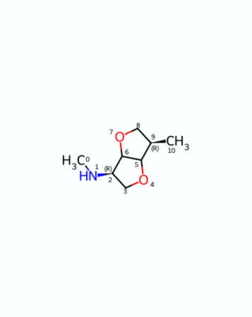 CN[C@@H]1COC2C1OC[C@H]2C